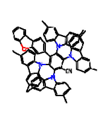 Cc1ccc2c(c1)c1cc(C)ccc1n2-c1c(C#N)c(-n2c3ccc(C)cc3c3cc(C)ccc32)c(-n2c3ccc(C)cc3c3cc(C)ccc32)c(-c2ccc3c(c2)oc2ccccc23)c1-n1c2ccc(C)cc2c2cc(C)ccc21